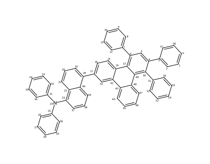 c1ccc(-c2cc(-c3ccccc3)c3c4ccc(-c5cccc6c(N(c7ccccc7)c7ccccc7)cccc56)cc4c4ccccc4c3c2-c2ccccc2)cc1